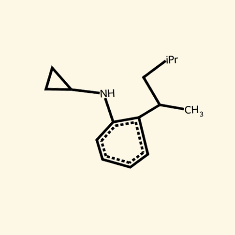 CC(C)CC(C)c1ccccc1NC1CC1